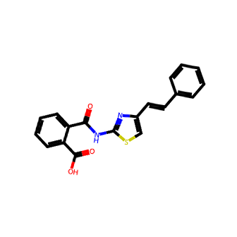 O=C(O)c1ccccc1C(=O)Nc1nc(C=Cc2ccccc2)cs1